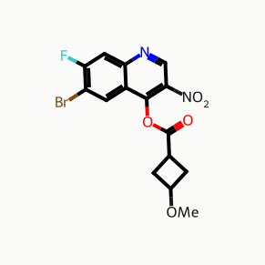 COC1CC(C(=O)Oc2c([N+](=O)[O-])cnc3cc(F)c(Br)cc23)C1